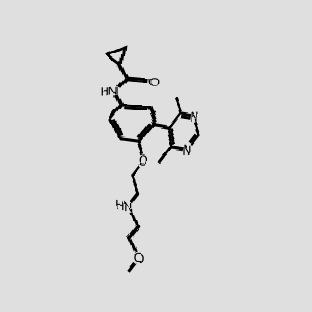 COCCNCCOc1ccc(NC(=O)C2CC2)cc1-c1c(C)ncnc1C